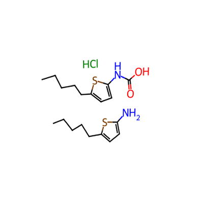 CCCCCc1ccc(N)s1.CCCCCc1ccc(NC(=O)O)s1.Cl